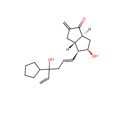 C=CC(O)(CC=C[C@H]1[C@@H]2CC(=C)C(=O)[C@H]2C[C@H]1O)C1CCCC1